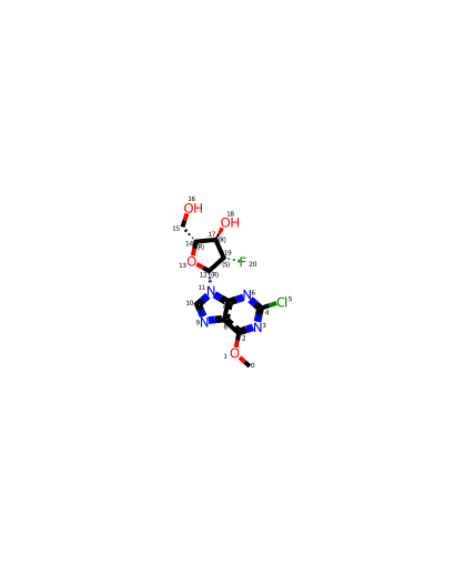 COc1nc(Cl)nc2c1ncn2[C@@H]1O[C@H](CO)[C@@H](O)[C@@H]1F